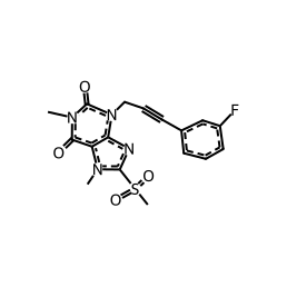 Cn1c(=O)c2c(nc(S(C)(=O)=O)n2C)n(CC#Cc2cccc(F)c2)c1=O